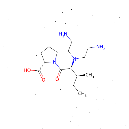 CC[C@H](C)[C@@H](C(=O)N1CCC[C@H]1C(=O)O)N(CCN)CCN